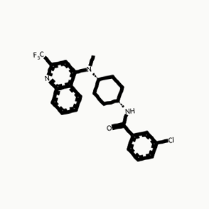 CN(c1cc(C(F)(F)F)nc2ccccc12)[C@H]1CC[C@@H](NC(=O)c2cccc(Cl)c2)CC1